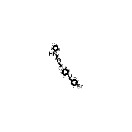 Brc1ccc(COc2ccc(OCCOCCNC3CCCC3)cc2)cc1